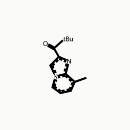 Cc1cccn2cc(C(=O)C(C)(C)C)nc12